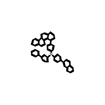 c1ccc(-c2cccc(N(c3ccc(-c4ccc5ccccc5c4)cc3)c3ccc(-c4cccc5ccc6c7ccccc7ccc6c45)cc3)c2)cc1